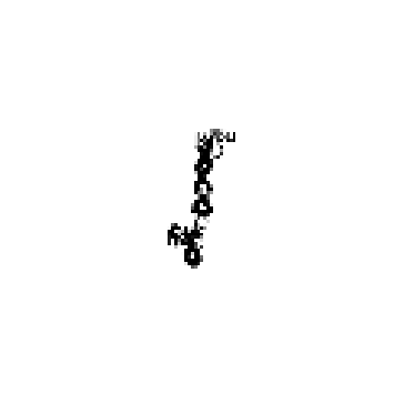 CC[C@H](C)n1ncn(-c2ccc(N3CCN(c4ccc(OC[C@H]5CO[C@](Cn6nccn6)(c6ccccc6)O5)cc4)CC3)cc2)c1=O